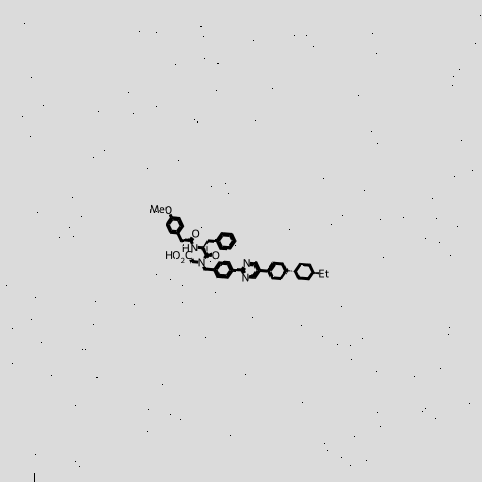 CC[C@H]1CC[C@H](C2CC=C(c3cnc(-c4ccc(CN(CC(=O)O)C(=O)[C@H](Cc5ccccc5)NC(=O)Cc5ccc(OC)cc5)cc4)nc3)CC2)CC1